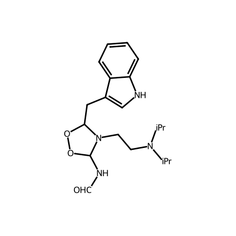 CC(C)N(CCN1C(Cc2c[nH]c3ccccc23)OOC1NC=O)C(C)C